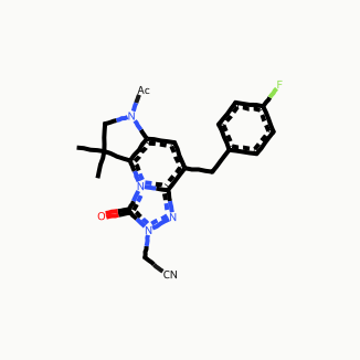 CC(=O)N1CC(C)(C)c2c1cc(Cc1ccc(F)cc1)c1nn(CC#N)c(=O)n21